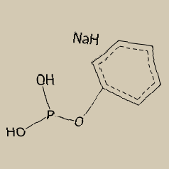 OP(O)Oc1ccccc1.[NaH]